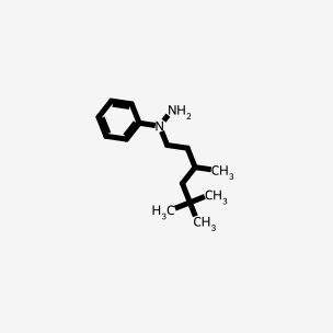 CC(CCN(N)c1ccccc1)CC(C)(C)C